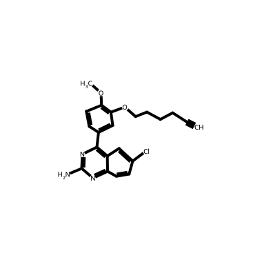 C#CCCCCOc1cc(-c2nc(N)nc3ccc(Cl)cc23)ccc1OC